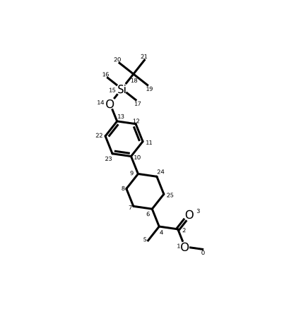 COC(=O)C(C)C1CCC(c2ccc(O[Si](C)(C)C(C)(C)C)cc2)CC1